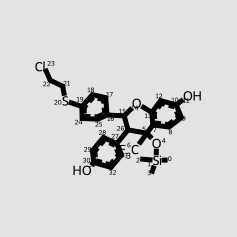 C[Si](C)(C)OC1(C(F)(F)F)c2ccc(O)cc2OC(c2ccc(SCCCl)cc2)C1c1ccc(O)cc1